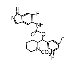 O=C(Nc1cc2cn[nH]c2cc1F)O[C@@H](c1cc(F)cc(Cl)c1)C1CCCCN1C(=O)O